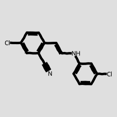 N#Cc1[c]c(Cl)ccc1C=CNc1cccc(Cl)c1